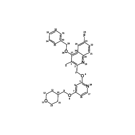 Cc1c(COc2cc(OCC3CCOCC3)ccn2)nc2ccc(F)cc2c1OCc1ccccc1